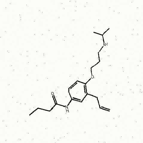 C=CCc1cc(NC(=O)CCC)ccc1OCCCNC(C)C